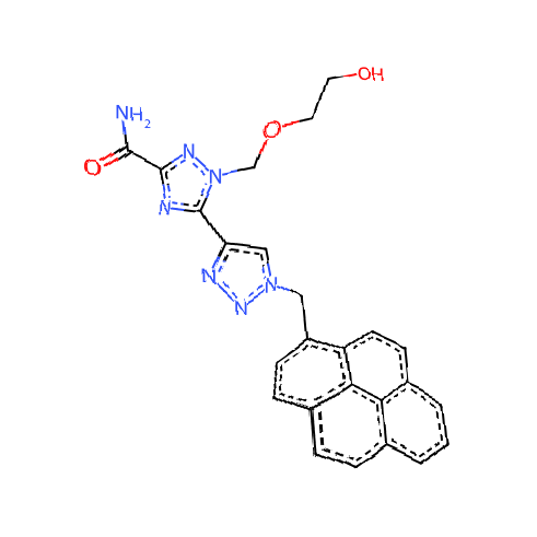 NC(=O)c1nc(-c2cn(Cc3ccc4ccc5cccc6ccc3c4c56)nn2)n(COCCO)n1